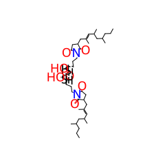 CCCC(C)CC(C)/C=C(\C)CC1CC(=O)N(CCC[SiH](O)O[SiH](O)CCCN2C(=O)CC(C/C(C)=C/C(C)CC(C)CCC)C2=O)C1=O